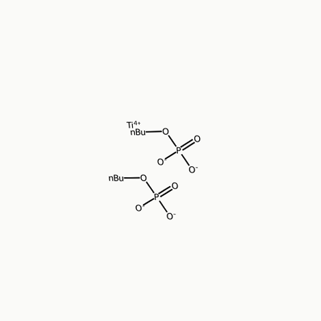 CCCCOP(=O)([O-])[O-].CCCCOP(=O)([O-])[O-].[Ti+4]